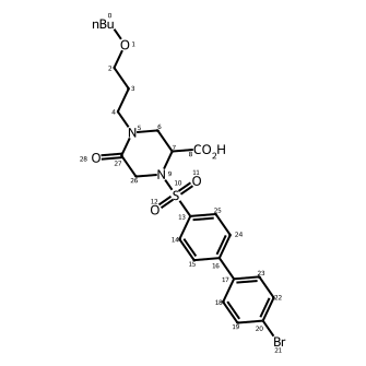 CCCCOCCCN1CC(C(=O)O)N(S(=O)(=O)c2ccc(-c3ccc(Br)cc3)cc2)CC1=O